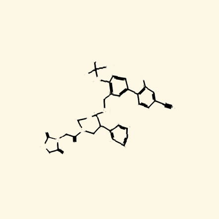 N#Cc1ccc(-c2ccc(OC(F)(F)F)c(CNC3CCN(C(=O)CN4C(=O)COC4=O)CC3c3ccccc3)c2)c(F)c1